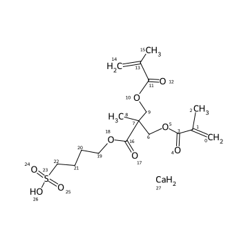 C=C(C)C(=O)OCC(C)(COC(=O)C(=C)C)C(=O)OCCCCS(=O)(=O)O.[CaH2]